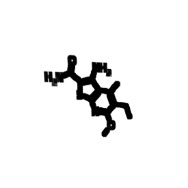 CCc1c(OC)nc2sc(C(N)=O)c(N)c2c1C